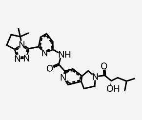 CC(C)C[C@H](O)C(=O)N1CCc2cnc(C(=O)Nc3cccc(-c4nnc5n4C(C)(C)CC5)n3)cc2C1